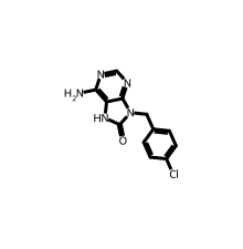 Nc1ncnc2c1[nH]c(=O)n2Cc1ccc(Cl)cc1